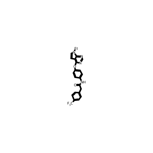 CCn1ccc2c(Oc3ccc(NC(=O)Cc4ccc(C(F)(F)F)cc4)cc3)ncnc21